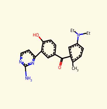 CCN(CC)c1ccc(C)c(C(=O)c2ccc(O)c(-c3ccnc(N)n3)c2)c1